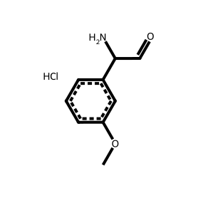 COc1cccc(C(N)C=O)c1.Cl